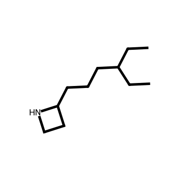 CCC(CC)CCCC1CCN1